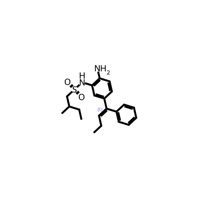 CC/C=C(\c1ccccc1)c1ccc(N)c(NS(=O)(=O)CC(C)CC)c1